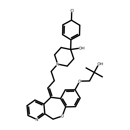 CC(C)(O)COc1ccc2c(c1)C(=CCCN1CCC(O)(C3=CCC(Cl)C=C3)CC1)c1cccnc1CO2